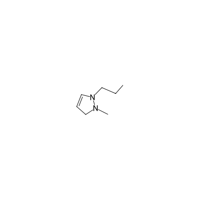 CCCN1C=CCN1C